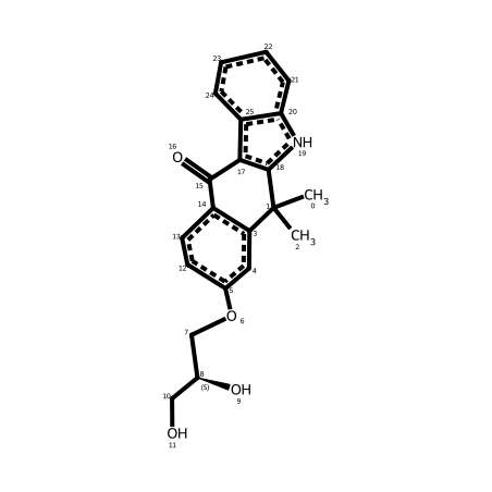 CC1(C)c2cc(OC[C@@H](O)CO)ccc2C(=O)c2c1[nH]c1ccccc21